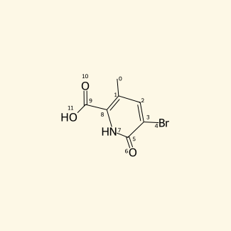 Cc1cc(Br)c(=O)[nH]c1C(=O)O